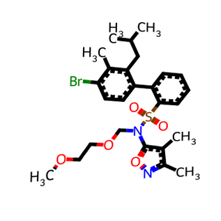 COCCOCN(c1onc(C)c1C)S(=O)(=O)c1ccccc1-c1ccc(Br)c(C)c1CC(C)C